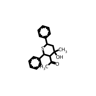 CC(=O)C1C(c2ccccc2)SC(c2ccccc2)CC1(C)O